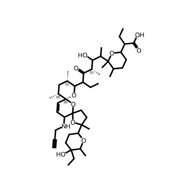 C#CCNC1C=C[C@]2(OC(C(CC)C(=O)[C@@H](C)C(O)C(C)C3(C)OC(C(CC)C(=O)O)CCC3C)[C@@H](C)C[C@H]2C)OC12CCC(C)(C1CCC(O)(CC)C(C)O1)O2